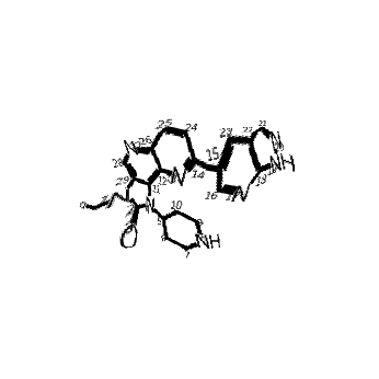 Cn1c(=O)n(C2CCNCC2)c2c3nc(-c4cnc5[nH]ncc5c4)ccc3ncc21